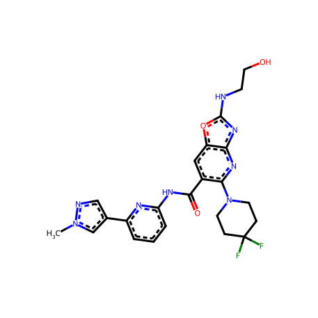 Cn1cc(-c2cccc(NC(=O)c3cc4oc(NCCO)nc4nc3N3CCC(F)(F)CC3)n2)cn1